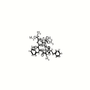 CC(C)CCC(NC(=O)NC(C)(C)C)[C@H](O)C(Cc1ccccc1)NC(=O)[C@H](C)NS(=O)(=O)CCc1ccccc1